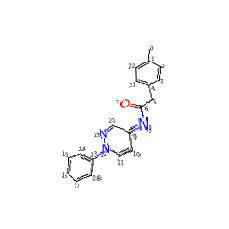 Cc1ccc(CC(=O)/N=c2/ccn(-c3ccccc3)nc2)cc1